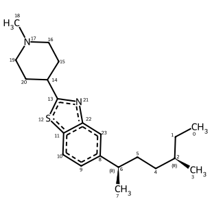 CC[C@@H](C)CC[C@@H](C)c1ccc2sc(C3CCN(C)CC3)nc2c1